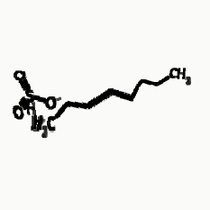 CCCCCCCC.O=[SH](=O)[O-].[Li+]